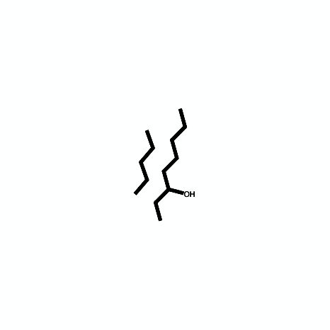 CCCCC.CCCCCC(O)CC